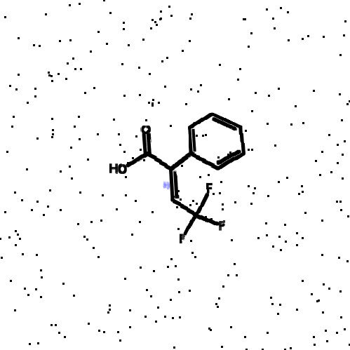 O=C(O)/C(=C/C(F)(F)F)c1ccccc1